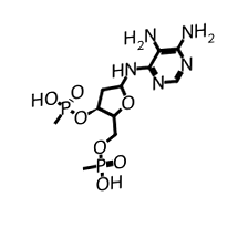 CP(=O)(O)OCC1OC(Nc2ncnc(N)c2N)C[C@@H]1OP(C)(=O)O